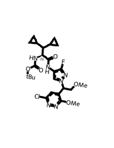 COCC(c1cc(Cl)nnc1OC)n1cc(NC(=O)[C@@H](NC(=O)OC(C)(C)C)C(C2CC2)C2CC2)c(F)n1